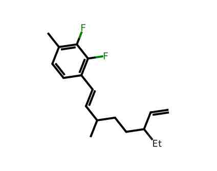 C=CC(CC)CCC(C)/C=C/c1ccc(C)c(F)c1F